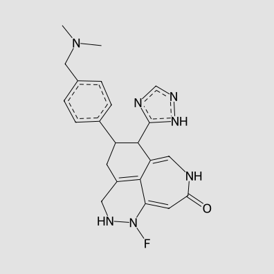 CN(C)Cc1ccc(C2CC3=C4C(=CNC(=O)C=C4N(F)NC3)C2c2ncn[nH]2)cc1